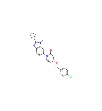 Cn1c(C2CCC2)nc2ccc(-n3ccc(OCc4ccc(Cl)cc4)cc3=O)cc21